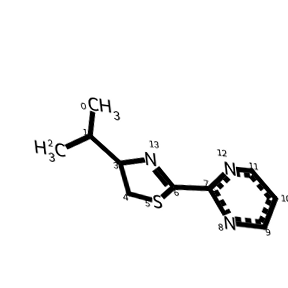 CC(C)C1CSC(c2ncccn2)=N1